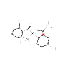 BBC(=O)NC12C(=O)c3c(N)cccc3C1(O)Oc1cc(O)ccc12